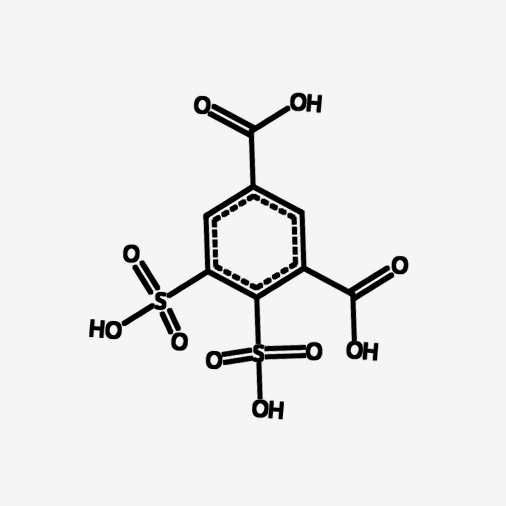 O=C(O)c1cc(C(=O)O)c(S(=O)(=O)O)c(S(=O)(=O)O)c1